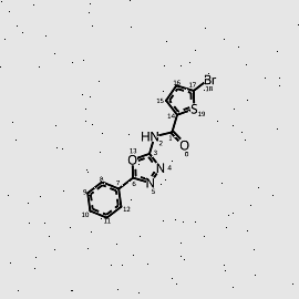 O=C(Nc1nnc(-c2ccccc2)o1)c1ccc(Br)s1